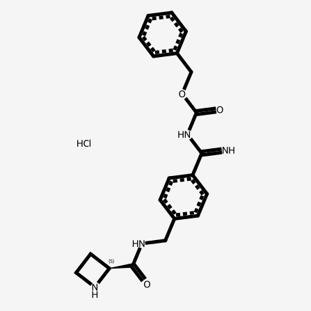 Cl.N=C(NC(=O)OCc1ccccc1)c1ccc(CNC(=O)[C@@H]2CCN2)cc1